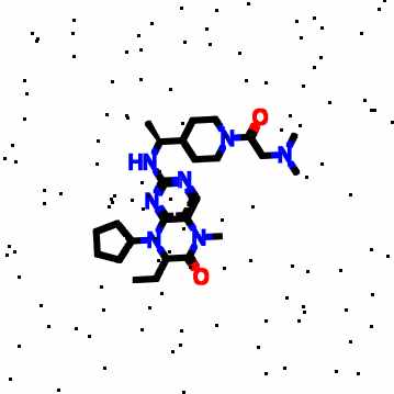 CCC1C(=O)N(C)c2cnc(N[C@@H](C)C3CCN(C(=O)CN(C)C)CC3)nc2N1C1CCCC1